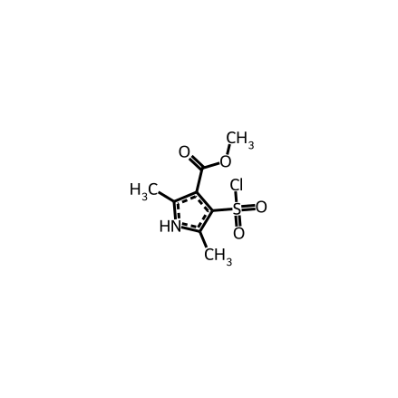 COC(=O)c1c(C)[nH]c(C)c1S(=O)(=O)Cl